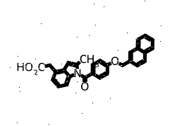 Cc1cc2c(CC(=O)O)cccc2n1C(=O)c1ccc(OCc2ccc3ccccc3c2)cc1